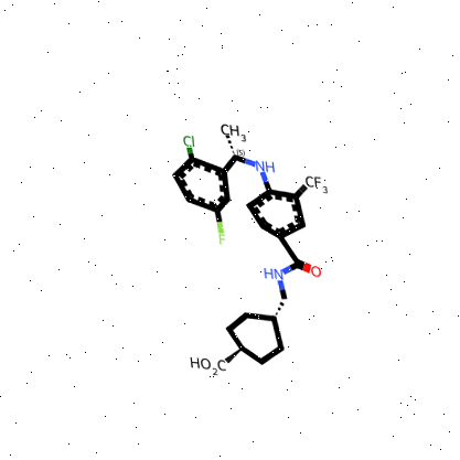 C[C@H](Nc1ccc(C(=O)NC[C@H]2CC[C@H](C(=O)O)CC2)cc1C(F)(F)F)c1cc(F)ccc1Cl